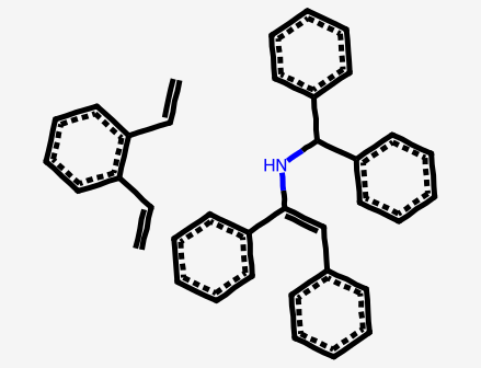 C(=C(NC(c1ccccc1)c1ccccc1)c1ccccc1)c1ccccc1.C=Cc1ccccc1C=C